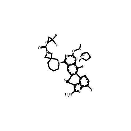 CC(Oc1nc(N2CCCCC3(CN(C(=O)[C@H]4CC4(F)F)C3)C2)c2cc(Cl)c(-c3ccc(F)c4sc(N)c(C#N)c34)c(F)c2n1)[C@@H]1CCCN1C